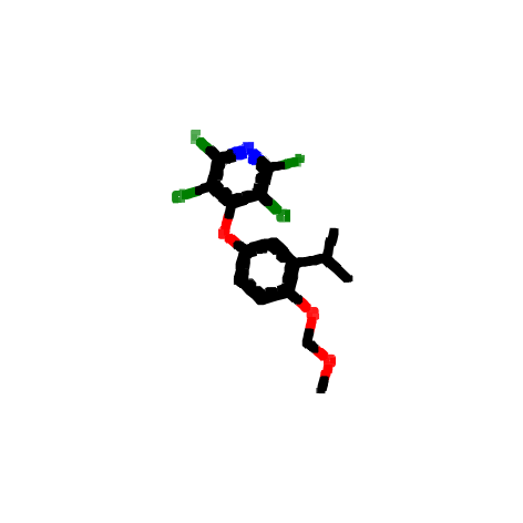 COCOc1ccc(Oc2c(Cl)c(F)nc(F)c2Cl)cc1C(C)C